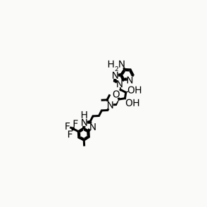 Cc1cc(C(F)(F)F)c2[nH]c(CCCCN(C[C@H]3O[C@@H](n4cnc5c(N)ccnc54)[C@H](O)[C@@H]3O)C(C)C)nc2c1